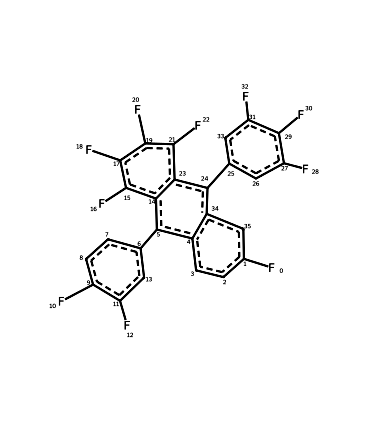 Fc1ccc2c(-c3ccc(F)c(F)c3)c3c(F)c(F)c(F)c(F)c3c(-c3cc(F)c(F)c(F)c3)c2c1